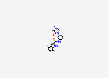 Cc1ccc(F)c2cc(C(=O)N[C@@H]3CCC[C@H](N4CCN(C)C(C)C4=O)C3)[nH]c12